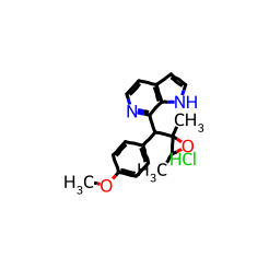 COc1ccc(C(c2nccc3cc[nH]c23)C2(C)OC2C)cc1.Cl